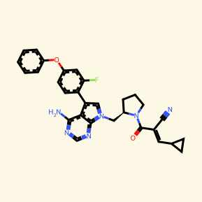 N#CC(=CC1CC1)C(=O)N1CCC[C@@H]1Cn1cc(-c2ccc(Oc3ccccc3)cc2F)c2c(N)ncnc21